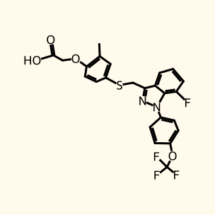 Cc1cc(SCc2nn(-c3ccc(OC(F)(F)F)cc3)c3c(F)cccc23)ccc1OCC(=O)O